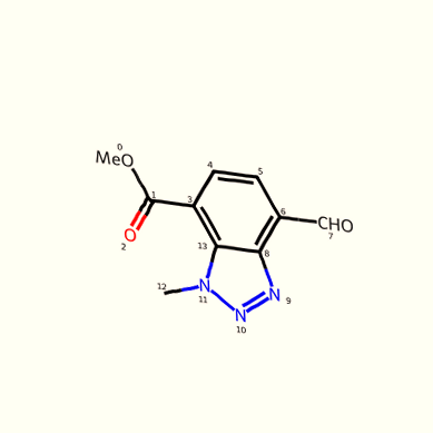 COC(=O)c1ccc(C=O)c2nnn(C)c12